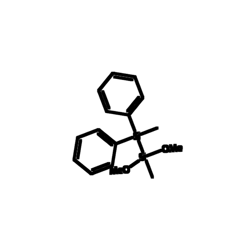 CO[Si](C)(OC)[Si](C)(c1ccccc1)c1ccccc1